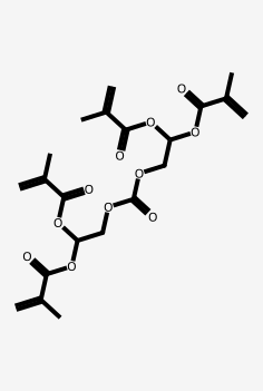 C=C(C)C(=O)OC(COC(=O)OCC(OC(=O)C(=C)C)OC(=O)C(=C)C)OC(=O)C(=C)C